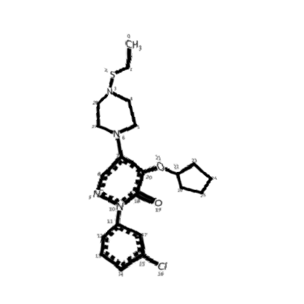 CCSN1CCN(c2cnn(-c3cccc(Cl)c3)c(=O)c2OC2CCCC2)CC1